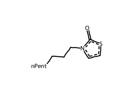 CCCCCCCCn1ccsc1=O